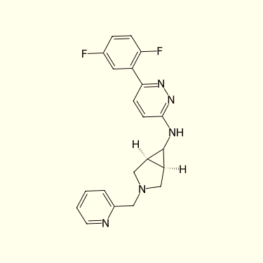 Fc1ccc(F)c(-c2ccc(NC3[C@H]4CN(Cc5ccccn5)C[C@@H]34)nn2)c1